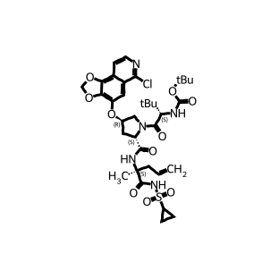 C=CC[C@](C)(NC(=O)[C@@H]1C[C@@H](Oc2cc3c(Cl)nccc3c3c2OCO3)CN1C(=O)[C@@H](NC(=O)OC(C)(C)C)C(C)(C)C)C(=O)NS(=O)(=O)C1CC1